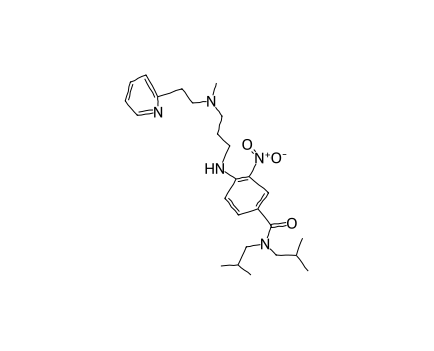 CC(C)CN(CC(C)C)C(=O)c1ccc(NCCCN(C)CCc2ccccn2)c([N+](=O)[O-])c1